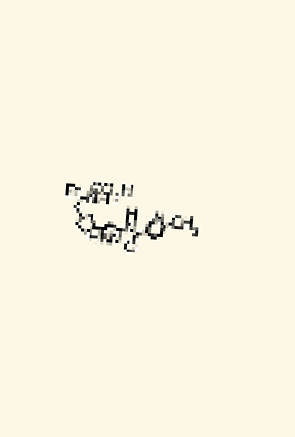 CCC(CC1CCC(c2cc(NC(=O)c3ccc(C)nc3)n[nH]2)C1)NC(=O)O